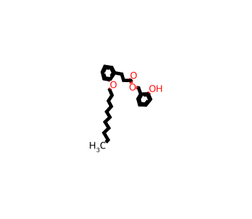 CCCCCCCCCCCOc1ccccc1CCC(=O)OCc1ccccc1O